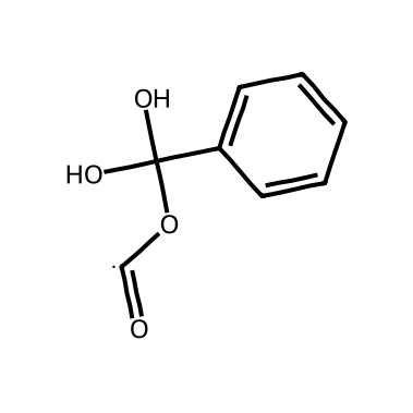 O=[C]OC(O)(O)c1ccccc1